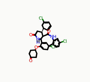 O=C1CCC(OC2=CCC3(Cl)C=C2[C@@H]2NC(=O)C[C@@H](C4C=CC=C(Cl)C4)C2C(=O)Nc2cc(Cl)ccc23)CC1